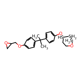 CC(C)(c1ccc(OCC2CO2)cc1)c1ccc(O[SiH]2CCO[SiH2][SiH2]2)cc1